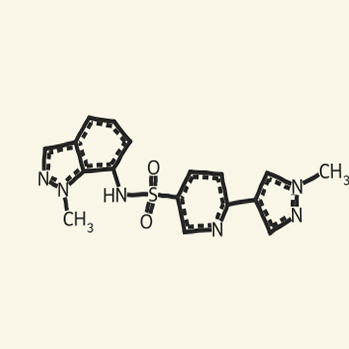 Cn1cc(-c2ccc(S(=O)(=O)Nc3cccc4cnn(C)c34)cn2)cn1